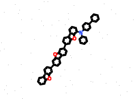 c1ccc(-c2ccc(N(c3ccccc3)c3cccc4c3oc3cc(-c5ccc6c(c5)oc5cc(-c7ccc8c(c7)oc7ccccc78)ccc56)ccc34)cc2)cc1